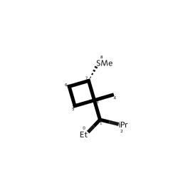 CCC(C(C)C)C1(C)CC[C@@H]1SC